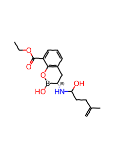 C=C(C)CCC(O)N[C@H]1Cc2cccc(C(=O)OCC)c2OB1O